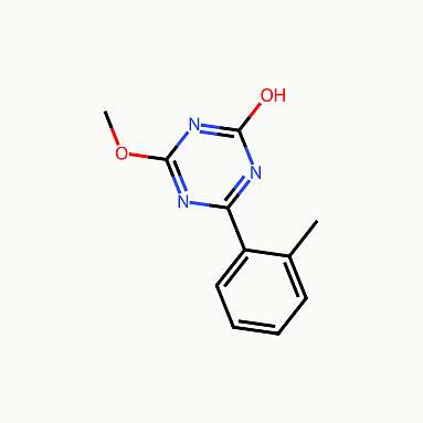 COc1nc(O)nc(-c2ccccc2C)n1